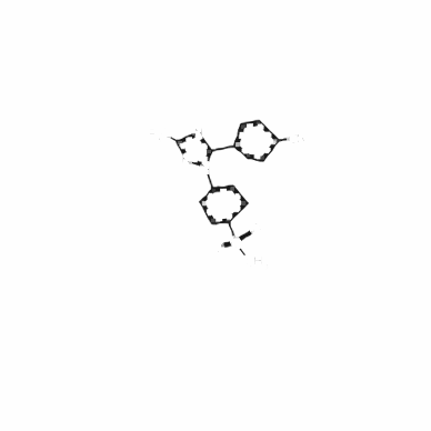 CS(=O)(=O)c1ccc(-n2nc(C(F)(F)F)nc2-c2ccc(C#N)cc2)cc1